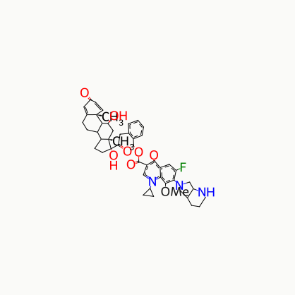 COc1c(N2CC3CCCNC3C2)c(F)cc2c(=O)c(C(=O)OCc3ccccc3CC(=O)[C@@]3(O)CCC4C5CCC6=CC(=O)C=C[C@]6(C)C5[C@@H](O)C[C@@]43C)cn(C3CC3)c12